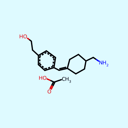 CC(=O)O.NCC1CCC(=Cc2ccc(CCO)cc2)CC1